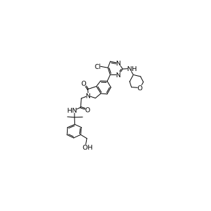 CC(C)(NC(=O)CN1Cc2ccc(-c3nc(NC4CCOCC4)ncc3Cl)cc2C1=O)c1cccc(CO)c1